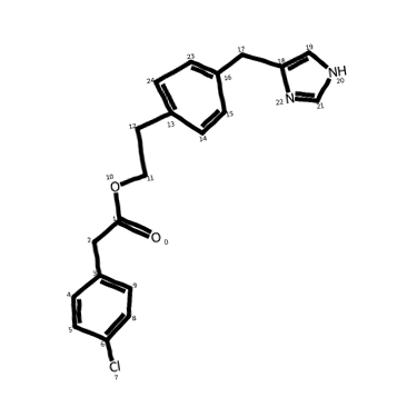 O=C(Cc1ccc(Cl)cc1)OCCc1ccc(Cc2c[nH]cn2)cc1